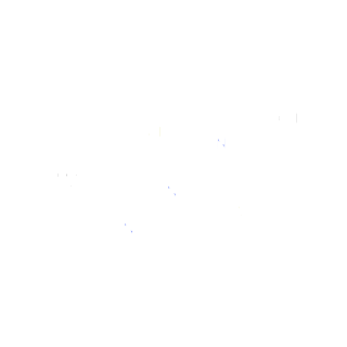 CCOC(=O)c1ncn(-c2nc(C)cs2)c1S